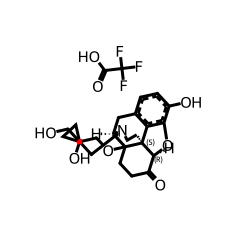 O=C(O)C(F)(F)F.O=C1CCC2(OCC(O)CO)[C@H]3Cc4ccc(O)c5c4[C@@]2(CCN3CC2CC2)[C@H]1O5